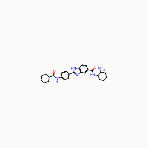 NC1CCCCC1NC(=O)c1ccc2[nH]c(-c3ccc(NC(=O)C4CCCCC4)cc3)nc2c1